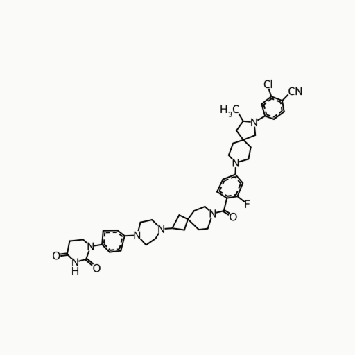 CC1CC2(CCN(c3ccc(C(=O)N4CCC5(CC4)CC(N4CCN(c6ccc(N7CCC(=O)NC7=O)cc6)CC4)C5)c(F)c3)CC2)CN1c1ccc(C#N)c(Cl)c1